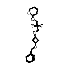 FC(F)(COC1CC(OCc2ccccc2)C1)COC1CCCCO1